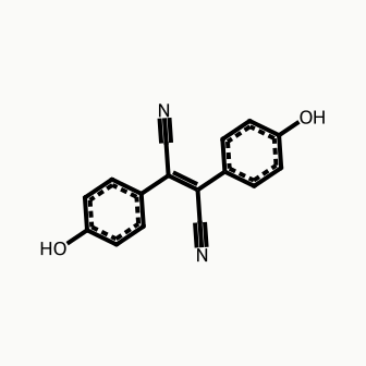 N#CC(=C(C#N)c1ccc(O)cc1)c1ccc(O)cc1